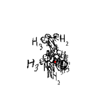 C=CC(=O)N1C[C@H](C)N(C2=NCN(c3c(C(C)C)nc(N)nc3C(C)C)c3nc(-c4ccccc4F)c(Cl)cc32)C[C@H]1C